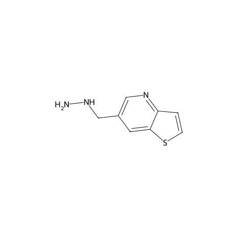 NNCc1cnc2ccsc2c1